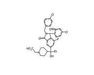 CCC(O)(c1cc(F)c2c(c1)C(=O)N(Cc1ccc(Cl)cc1)[C@@]2(OC)c1ccc(Cl)cc1)C1CCN(CC(=O)O)CC1